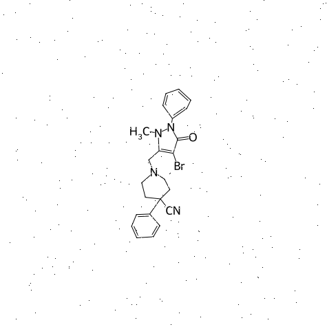 Cn1c(CN2CCC(C#N)(c3ccccc3)CC2)c(Br)c(=O)n1-c1ccccc1